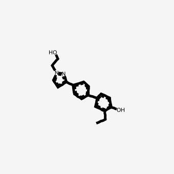 CCc1cc(-c2ccc(-c3ccn(CCO)n3)cc2)ccc1O